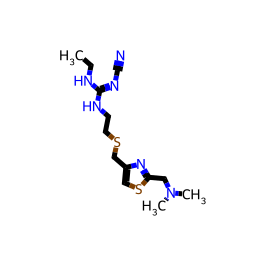 CCNC(=NC#N)NCCSCc1csc(CN(C)C)n1